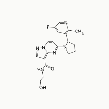 Cc1ncc(F)cc1C1CCCN1c1ccn2ncc(C(=O)NCCO)c2n1